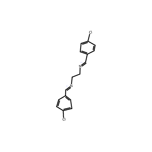 Clc1ccc(/C=N/CC/N=C/c2ccc(Cl)cc2)cc1